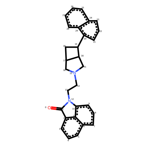 O=C1c2cccc3cccc(c23)N1CCN1CC2CC(c3cccc4ccccc34)C2C1